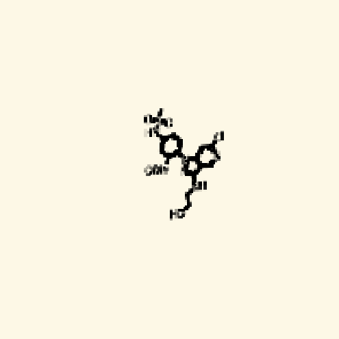 COc1cc(NS(C)(=O)=O)ccc1-n1nc(NCCO)c2cnc(Cl)cc21